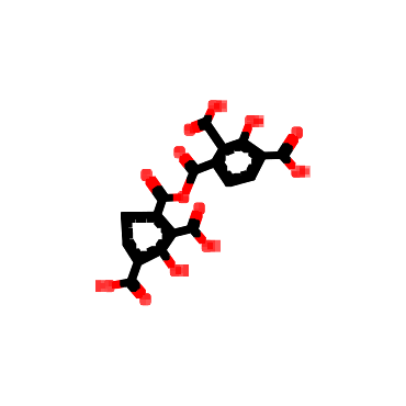 O=C(O)c1ccc(C(=O)OC(=O)c2ccc(C(=O)O)c(O)c2C(=O)O)c(C(=O)O)c1O